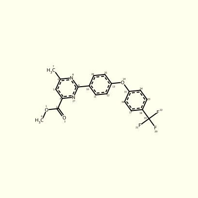 COC(=O)c1cc(C)nc(-c2ccc(Oc3ccc(C(F)(F)F)cc3)cc2)n1